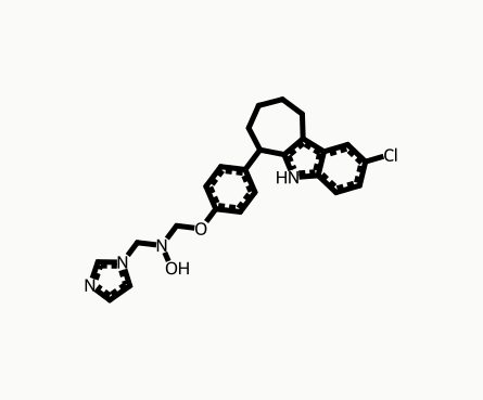 ON(COc1ccc(C2CCCCc3c2[nH]c2ccc(Cl)cc32)cc1)Cn1ccnc1